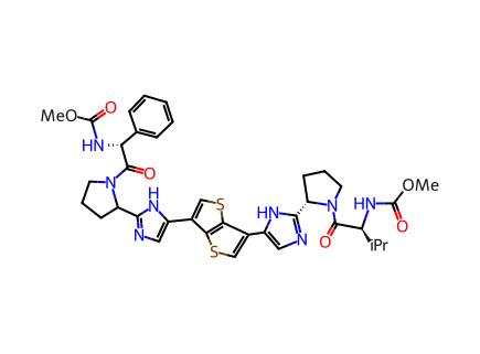 COC(=O)N[C@H](C(=O)N1CCC[C@H]1c1ncc(-c2csc3c(-c4cnc(C5CCCN5C(=O)[C@H](NC(=O)OC)c5ccccc5)[nH]4)csc23)[nH]1)C(C)C